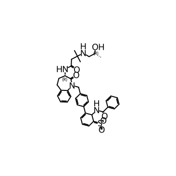 C[C@@H](O)CNC(C)(C)CC(=O)N[C@@H]1CCc2ccccc2N(Cc2ccc(C3=CC=CC(=S(=O)=O)C3NC(=O)c3ccccc3)cc2)C1=O